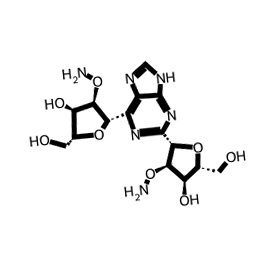 NO[C@@H]1[C@H](O)[C@@H](CO)O[C@H]1c1nc([C@@H]2O[C@H](CO)[C@@H](O)[C@H]2ON)c2nc[nH]c2n1